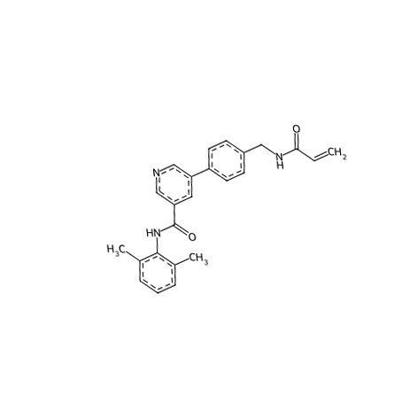 C=CC(=O)NCc1ccc(-c2cncc(C(=O)Nc3c(C)cccc3C)c2)cc1